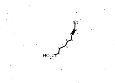 CCC#CCCCCCC(=O)O